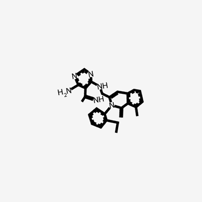 C=C1c2c(C)cccc2C=C(CNc2ncnc(N)c2C(C)=N)N1c1ccccc1CC